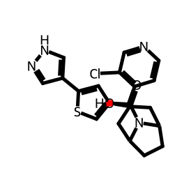 O=C(c1csc(-c2cn[nH]c2)c1)N1C2CCC1CC(O)(c1ccncc1Cl)C2